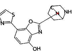 Oc1ccc(-c2nccs2)c2oc(N3CC4CCC(C3)NC4)nc12